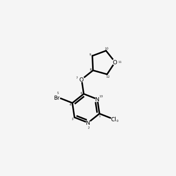 Clc1ncc(Br)c(OC2CCOC2)n1